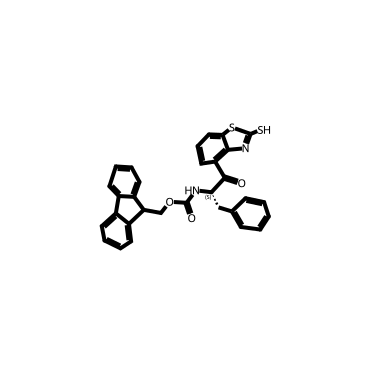 O=C(N[C@@H](Cc1ccccc1)C(=O)c1cccc2sc(S)nc12)OCC1c2ccccc2-c2ccccc21